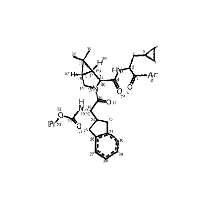 CC(=O)C(=O)C(CC1CC1)NC(=O)[C@@H]1[C@@H]2[C@H](CN1C(=O)[C@@H](NC(=O)OC(C)C)C1Cc3ccccc3C1)C2(C)C